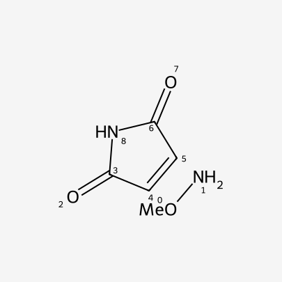 CON.O=C1C=CC(=O)N1